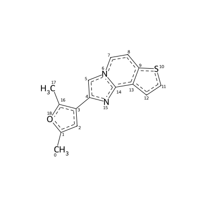 Cc1cc(-c2cn3ccc4sccc4c3n2)c(C)o1